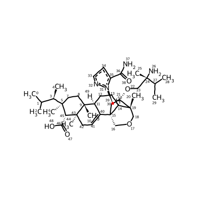 CC(C)[C@@H](C)[C@@]1(C)CC[C@]2(C)[C@H]3CC[C@@H]4[C@@]5(COC[C@@]4(C)[C@@H](OC[C@](C)(N)C(C)C)[C@H](n4nccc4C(N)=O)C5)C3=CC[C@@]2(C)[C@@H]1C(=O)O